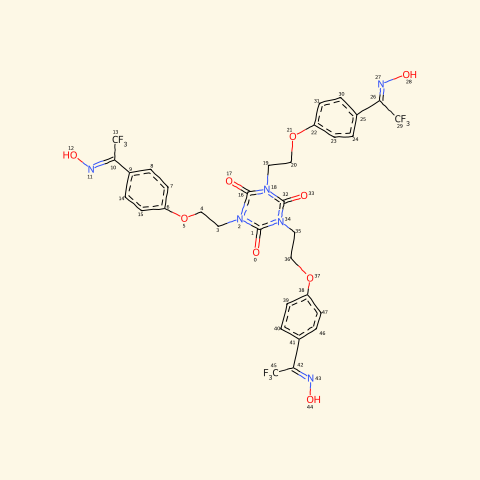 O=c1n(CCOc2ccc(C(=NO)C(F)(F)F)cc2)c(=O)n(CCOc2ccc(C(=NO)C(F)(F)F)cc2)c(=O)n1CCOc1ccc(C(=NO)C(F)(F)F)cc1